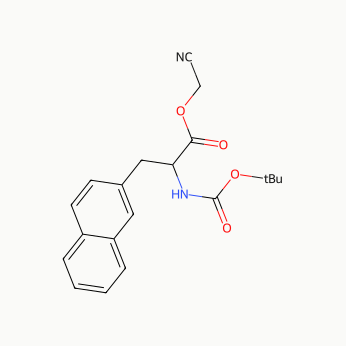 CC(C)(C)OC(=O)NC(Cc1ccc2ccccc2c1)C(=O)OCC#N